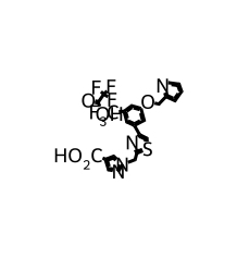 O=C(O)C(F)(F)F.O=C(O)c1cnn(Cc2nc(-c3cc(OCc4ccccn4)cc(C(F)(F)F)c3)cs2)c1